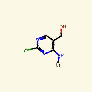 CCNc1nc(Cl)ncc1CO